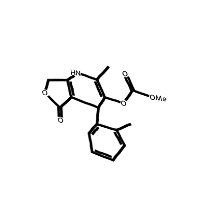 COC(=O)OC1=C(C)NC2=C(C(=O)OC2)C1c1ccccc1C